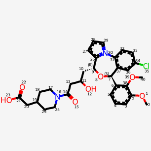 COc1cccc([C@H]2O[C@H](CC(O)CC(=O)N3CCC(CC(=O)O)CC3)c3cccn3-c3ccc(Cl)cc32)c1OC